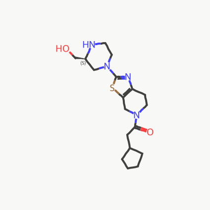 O=C(CC1CCCC1)N1CCc2nc(N3CCN[C@H](CO)C3)sc2C1